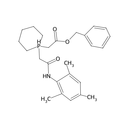 Cc1cc(C)c(NC(=O)C[PH]2(CC(=O)OCc3ccccc3)CCCCC2)c(C)c1